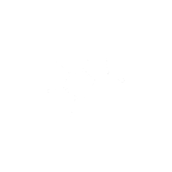 O=C1CCc2c1cc(Cl)c(F)c2Br